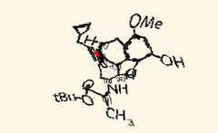 COc1cc(O)c2c3c1C[C@@H]1[C@@H]4CC[C@@H](N[C@@H](C)C(=O)OC(C)(C)C)[C@H](O2)[C@]34CCN1CC1CC1